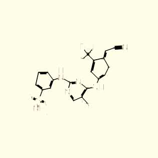 N#CC=C1CC=C(Nc2nc(Nc3cccc(S(N)(=O)=O)c3)ncc2F)C=C1C(F)(F)F